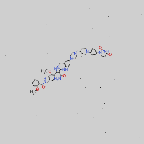 COc1ccccc1C(=O)NCc1ccc(-c2nn3c(c2C(N)=O)Nc2ccc(N4CCN(CC5CCN(c6ccc(N7CCC(=O)NC7=O)cc6)CC5)CC4)cc2CC3)c(OC)c1